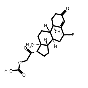 CC(=O)OCC(=O)[C@H]1CC[C@H]2[C@@H]3CC(F)C4=CC(=O)CC[C@]4(C)[C@H]3CC[C@]12C